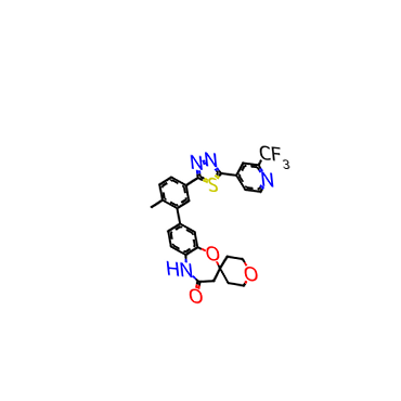 Cc1ccc(-c2nnc(-c3ccnc(C(F)(F)F)c3)s2)cc1-c1ccc2c(c1)OC1(CCOCC1)CC(=O)N2